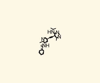 Cc1ncc(C#Cc2c(C)ncnc2NC(C)C)cc1NSc1ccccc1